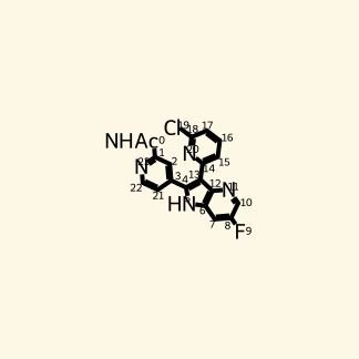 CC(=O)Nc1cc(-c2[nH]c3cc(F)cnc3c2-c2cccc(Cl)n2)ccn1